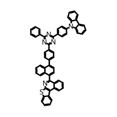 c1ccc(-c2nc(-c3ccc(-c4ccc(-c5nc6sc7ccccc7c6c6ccccc56)c5ccccc45)cc3)nc(-c3ccc(-n4c5ccccc5c5ccccc54)cc3)n2)cc1